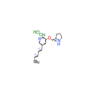 CC(C)(C)/C=C/C=C/c1cncc(OC[C@H]2CCCN2)c1.Cl.Cl